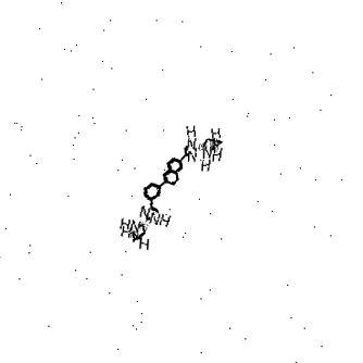 c1cc(-c2ccc3cc(-c4c[nH]c([C@@H]5C[C@H]6C[C@H]6N5)n4)ccc3c2)cc(-c2c[nH]c([C@@H]3C[C@H]4C[C@H]4N3)n2)c1